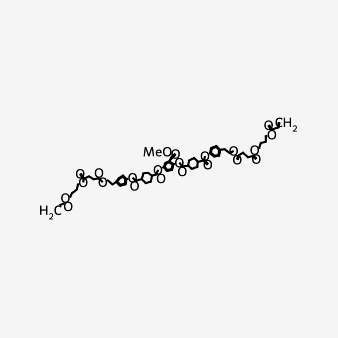 C=CC(=O)OCCCCOC(=O)CCC(=O)OCCc1ccc(OC(=O)C2CCC(C(=O)Oc3ccc(OC(=O)C4CCC(C(=O)Oc5ccc(CCOC(=O)CCC(=O)OCCCCOC(=O)C=C)cc5)CC4)c(C(=O)OC)c3)CC2)cc1